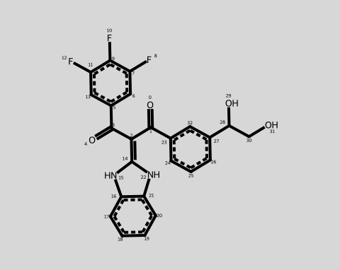 O=C(C(C(=O)c1cc(F)c(F)c(F)c1)=C1Nc2ccccc2N1)c1cccc(C(O)CO)c1